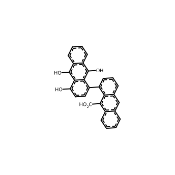 O=C(O)c1c2ccccc2cc2cccc(-c3ccc(O)c4c(O)c5ccccc5c(O)c34)c12